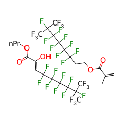 C=C(C)C(=O)OCCC(F)(F)C(F)(F)C(F)(F)C(F)(F)C(F)(C(F)(F)F)C(F)(F)F.CCCOC(=O)C(O)=CC(F)(F)C(F)(F)C(F)(F)C(F)(F)C(F)(C(F)(F)F)C(F)(F)F